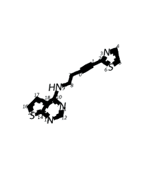 C(#Cc1nccs1)CCNc1ncnc2sccc12